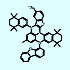 Cc1cc2c3c(c1)N(c1cccc4c1oc1ccccc14)c1cc4c(cc1B3c1sc3ccc(C(C)(C)C)cc3c1N2c1ccc2c(c1)C(C)(C)CCC2(C)C)C(C)(C)CCC4(C)C